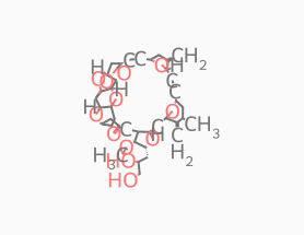 C=C1C(C)CC2CC[C@@H]3OC(CC[C@@]45C[C@H]6OC7C(O4)[C@H]4OC(CCC4O[C@H]7C6O5)CC(=O)CC4[C@H](CC1O2)O[C@H](CC(O)CO)[C@@H]4OC)CC3=C